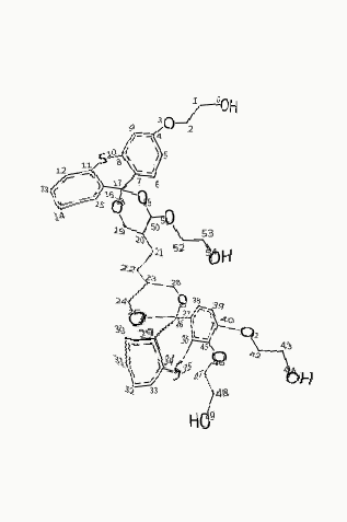 OCCOc1ccc2c(c1)Sc1ccccc1C21OCC(CCC2COC3(OC2)c2ccccc2Sc2c3ccc(OCCO)c2OCCO)C(OCCO)O1